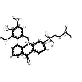 COc1cc(Cn2c3ccccc3c(=O)c3ccc(S(=O)(=O)CCN(C)C)cc32)cc(OC)c1O